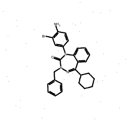 Nc1ccc(N2C(=O)N(Cc3ccccc3)N=C(C3CCCCC3)c3ccccc32)cc1Br